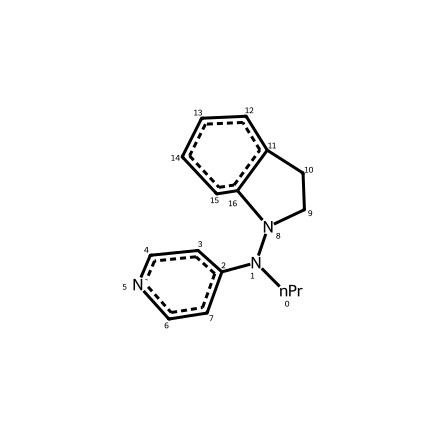 CCCN(c1ccncc1)N1CCc2ccccc21